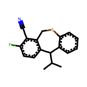 CC(C)C1c2ccccc2SCc2c1ccc(F)c2C#N